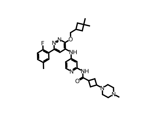 Cc1ccc(F)c(-c2cc(Nc3ccnc(NC(=O)C4CC(N5CCN(C)CC5)C4)c3)c(OCC3CC(C)(C)C3)nn2)c1